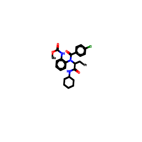 CC(C)CC(C(=O)NC1CCCCC1)N(C(=O)c1ccc(Cl)cc1)c1ccccc1NC(=O)OC(C)(C)C